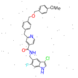 COc1ccc(COCc2ccc(Cc3cc(C(=O)NCc4cc5c(Cl)c[nH]c5cc4F)ccn3)cc2)cc1